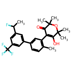 Cc1ccc(-c2cc(C(C)F)cc(C(F)(F)F)c2)cc1C1=C(O)C(C)(C)OC(C)(C)C1=O